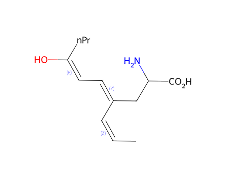 C\C=C/C(=C\C=C(\O)CCC)CC(N)C(=O)O